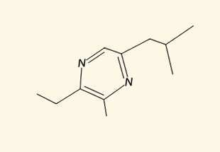 CCc1ncc(CC(C)C)nc1C